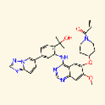 C=CC(=O)N1CCC(Oc2cc3c(Nc4cc(-c5ccc6ncnn6c5)ccc4C(C)(C)O)ncnc3cc2OC)CC1